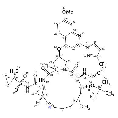 CC[C@@H]1C[C@H](C)CC/C=C\[C@@H]2C[C@@]2(C(=O)NS(=O)(=O)C2(C)CC2)NC(=O)[C@@H]2C[C@@H](Oc3cc(-n4ccc(C(F)(F)F)n4)nc4cc(OC)ccc34)CN2C(=O)[C@H]1NC(=O)OC(C)(C)C(F)(F)F